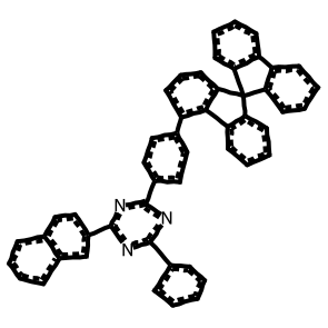 c1ccc(-c2nc(-c3ccc(-c4cccc5c4-c4ccccc4C54c5ccccc5-c5ccccc54)cc3)nc(-c3ccc4ccccc4c3)n2)cc1